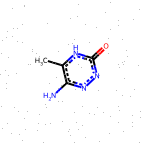 Cc1[nH]c(=O)nnc1N